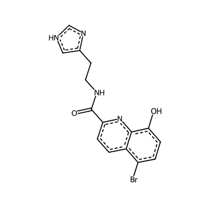 O=C(NCCc1c[nH]cn1)c1ccc2c(Br)ccc(O)c2n1